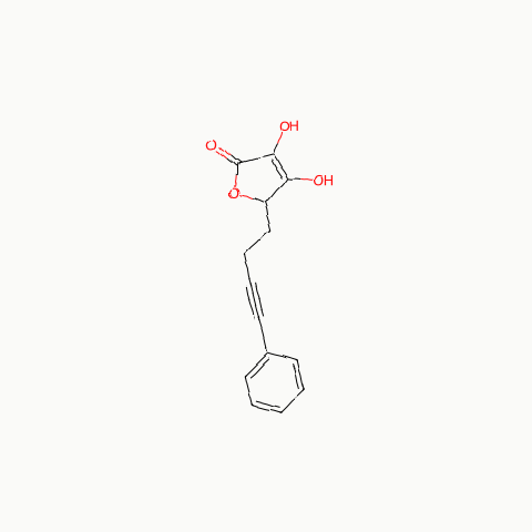 O=C1OC(CCC#Cc2ccccc2)C(O)=C1O